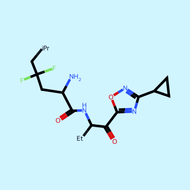 CCC(NC(=O)C(N)CC(F)(F)CC(C)C)C(=O)c1nc(C2CC2)no1